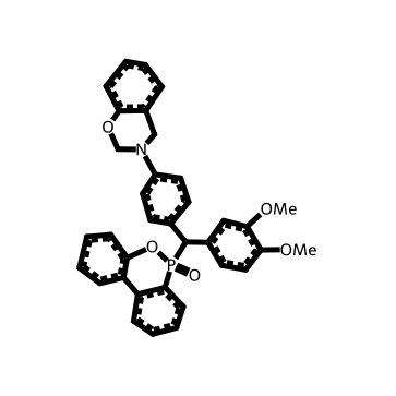 COc1ccc(C(c2ccc(N3COc4ccccc4C3)cc2)P2(=O)Oc3ccccc3-c3ccccc32)cc1OC